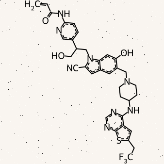 C=CC(=O)Nc1ccc(C(CO)Cn2c(C#N)cc3cc(CN4CCC(Nc5ncnc6sc(CC(F)(F)F)cc56)CC4)c(O)cc32)cn1